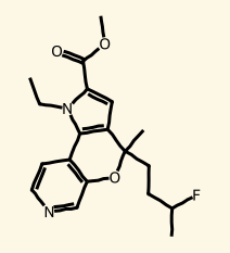 CCn1c(C(=O)OC)cc2c1-c1ccncc1OC2(C)CCC(C)F